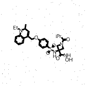 CCN1c2ccccc2C(COc2ccc(S(=O)(=O)NC3(C(=O)NO)CN(C(=O)C(C)C)C3)cc2)=CC1C